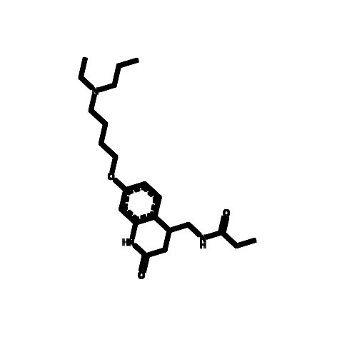 CCCN(CC)CCCCOc1ccc2c(c1)NC(=O)CC2CNC(=O)CC